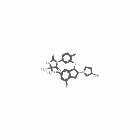 CC1(C)NC(=O)N(c2ccc(F)c(O[C@H]3c4cc(Cl)cc(F)c4C[C@H]3N3CC[C@@H](O)C3)c2)C1=O